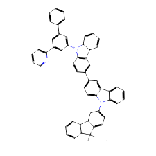 CC1(C)C2=CC=C(n3c4ccccc4c4cc(-c5ccc6c(c5)C5C=CC=CC5N6c5cc(-c6ccccc6)cc(-c6ccccn6)c5)ccc43)CC2C2C=CC=CC21